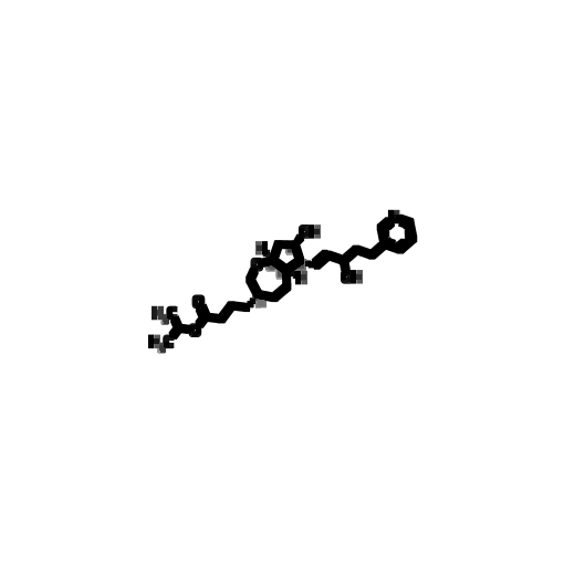 CC(C)OC(=O)CCC[C@H]1CC[C@@H]2[C@@H](C=CC(O)CCc3cccnc3)[C@H](O)C[C@@H]2OC1